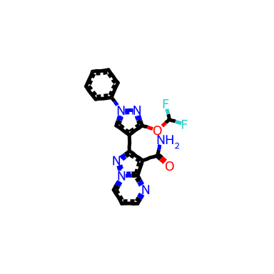 NC(=O)c1c(-c2cn(-c3ccccc3)nc2OC(F)F)nn2cccnc12